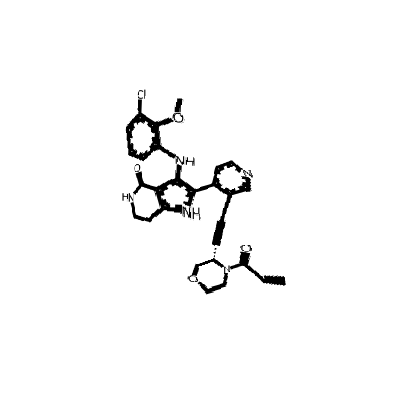 C=CC(=O)N1CCOC[C@@H]1C#Cc1cnccc1-c1[nH]c2c(c1Nc1cccc(Cl)c1OC)C(=O)NCC2